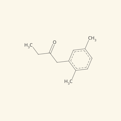 CCC(=O)Cc1cc(C)ccc1C